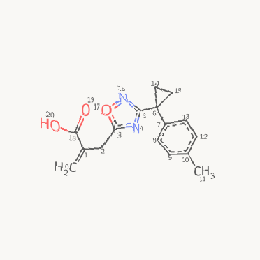 C=C(Cc1nc(C2(c3ccc(C)cc3)CC2)no1)C(=O)O